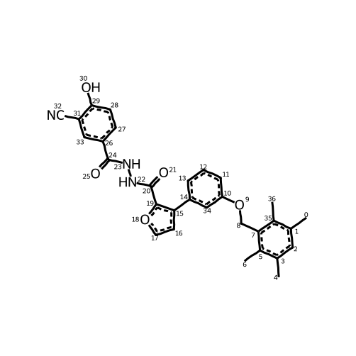 Cc1cc(C)c(C)c(COc2cccc(-c3ccoc3C(=O)NNC(=O)c3ccc(O)c(C#N)c3)c2)c1C